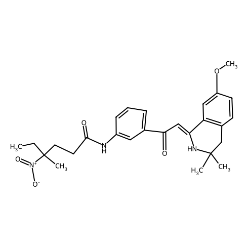 CCC(C)(CCC(=O)Nc1cccc(C(=O)C=C2NC(C)(C)Cc3ccc(OC)cc32)c1)[N+](=O)[O-]